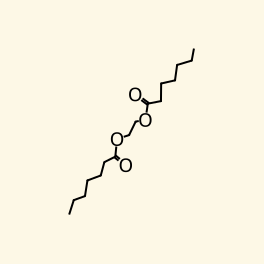 CCCCCCC(=O)OCCOC(=O)CCCCCC